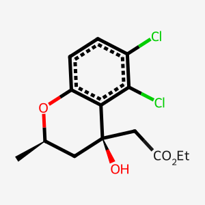 CCOC(=O)C[C@]1(O)C[C@@H](C)Oc2ccc(Cl)c(Cl)c21